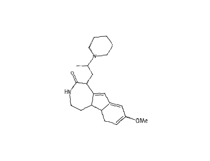 COC1=CCC2C(=C1)C=C1C(CC(C)N3CCCCC3)C(=O)NCCC12